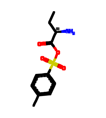 CC[C@@H](N)C(=O)OS(=O)(=O)c1ccc(C)cc1